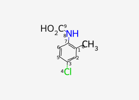 Cc1cc(Cl)ccc1NC(=O)O